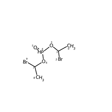 CC(Br)O[PH](=O)OC(C)Br